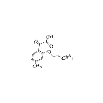 CCCOc1cc(C)ccc1C(=O)C(=O)O